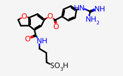 N=C(N)Nc1ccc(C(=O)Oc2cc3c(c(C(=O)NCCCS(=O)(=O)O)c2)CCO3)cc1